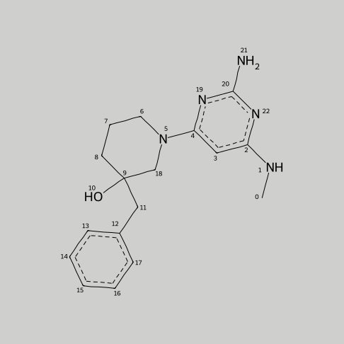 CNc1cc(N2CCCC(O)(Cc3ccccc3)C2)nc(N)n1